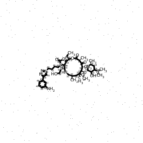 CC[C@H]1OC(=O)[C@H](C)C(=O)[C@H](C)[C@@H](O[C@@H]2O[C@H](C)CC(N(C)C)C2O)[C@](C)(OC)C[C@@H](C)CN[C@H](CCO)[C@H]2N(CCCCn3cc(-c4cccc(N)c4)nn3)C(=O)O[C@]12C